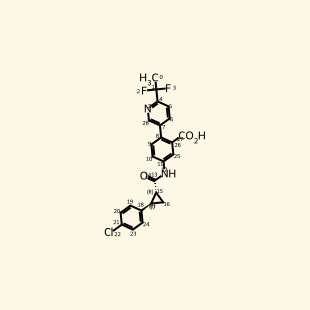 CC(F)(F)c1ccc(-c2ccc(NC(=O)[C@@H]3C[C@H]3c3ccc(Cl)cc3)cc2C(=O)O)cn1